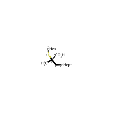 CCCCCCCC[C@](C)(SCCCCCC)C(=O)O